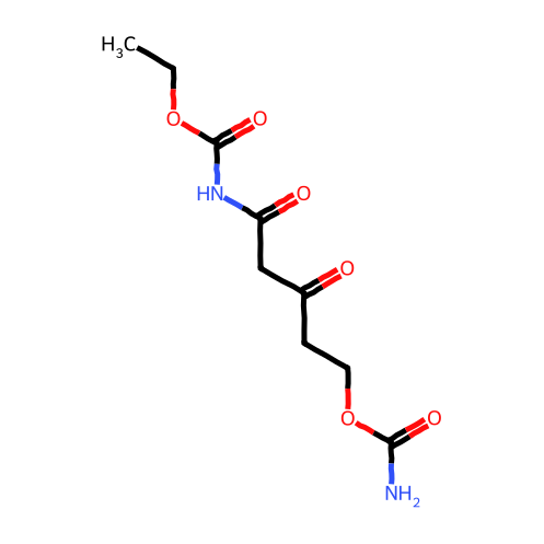 CCOC(=O)NC(=O)CC(=O)CCOC(N)=O